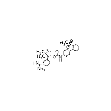 CC1(C)SCC(OC(=O)Nc2ccc(-c3ccccc3S(C)(=O)=O)cc2)N1c1cccc(C(=N)N)c1